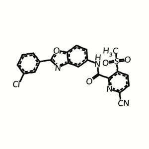 CS(=O)(=O)c1ccc(C#N)nc1C(=O)Nc1ccc2oc(-c3cccc(Cl)c3)nc2c1